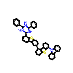 c1ccc(C2NC(c3ccccc3)NC(c3cccc4c3sc3ccc(-c5cccc6sc7c(-n8c9ccccc9c9ccccc98)cccc7c56)cc34)N2)cc1